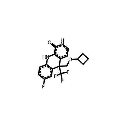 O=c1[nH]ccc2c1Nc1ccc(F)cc1C2(COC1CCC1)C(F)(F)F